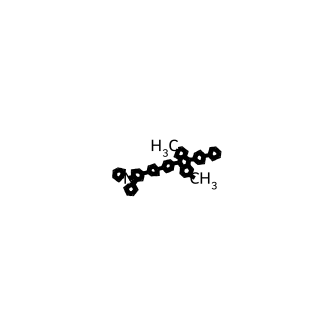 Cc1ccc2c(-c3ccc(-c4ccc(-c5ccc6c(c5)c5ccccc5n6-c5ccccc5)cc4)cc3)c3cc(C)ccc3c(-c3ccc(-c4ccccc4)cc3)c2c1